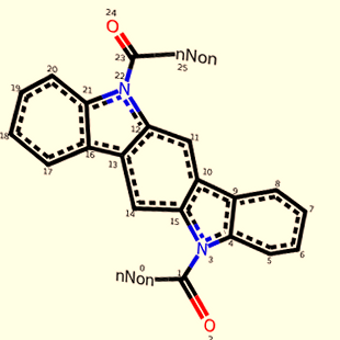 CCCCCCCCCC(=O)n1c2ccccc2c2cc3c(cc21)c1ccccc1n3C(=O)CCCCCCCCC